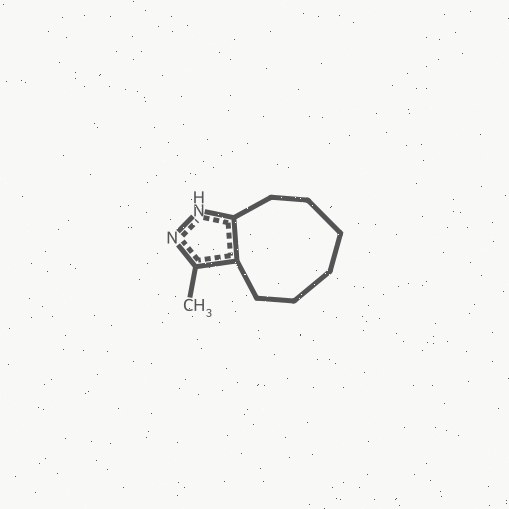 Cc1n[nH]c2c1CCCCCC2